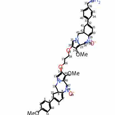 COc1ccc(C2=CC=C3C(C2)Cn2cc(OCCCOc4cn5c(c4OC)C=[N+]([O-])C4=CC=C(c6ccc(CN)cc6)CC4C5)c(OC)c2C=[N+]3[O-])cc1